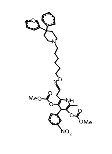 COC(=O)OC1=C(C)NC(CC=NOCCCCCCN2CCC(c3ccccc3)(c3ccccc3)CC2)=C(OC(=O)OC)C1c1cccc([N+](=O)[O-])c1